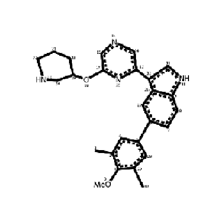 COc1c(C)cc(-c2ccc3[nH]cc(-c4cncc(OC5CCCNC5)n4)c3c2)cc1C